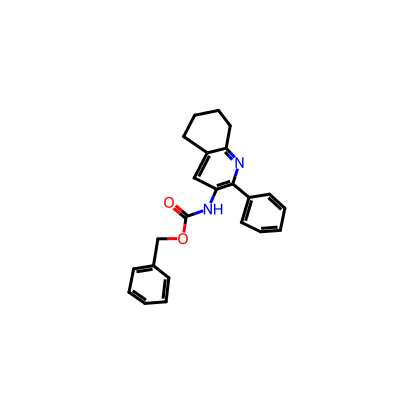 O=C(Nc1cc2c(nc1-c1ccccc1)CCCC2)OCc1ccccc1